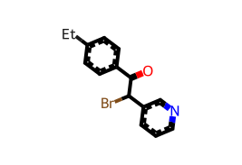 CCc1ccc(C(=O)C(Br)c2cccnc2)cc1